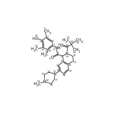 Cc1cc(NC(=O)C2c3cc(N4CCN(C)CC4)ccc3CCN2C(=O)C(C)(C)C)c(C)c(C)c1O